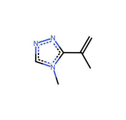 C=C(C)c1nncn1C